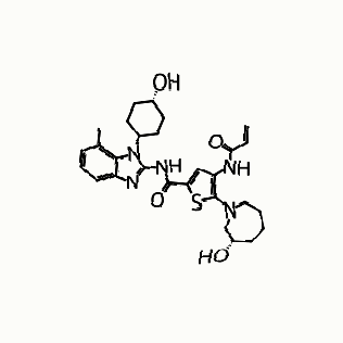 C=CC(=O)Nc1cc(C(=O)Nc2nc3cccc(C)c3n2[C@H]2CC[C@H](O)CC2)sc1N1CCCC[C@H](O)C1